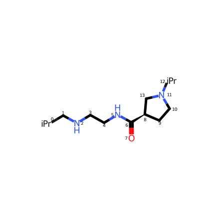 CC(C)CNCCNC(=O)[C@@H]1CCN(C(C)C)C1